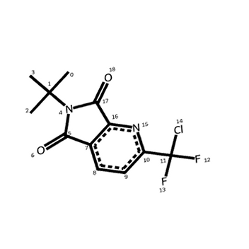 CC(C)(C)N1C(=O)c2ccc(C(F)(F)Cl)nc2C1=O